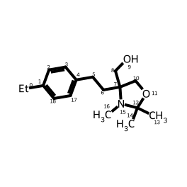 CCc1ccc(CCC2(CO)COC(C)(C)N2C)cc1